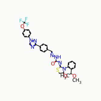 COC(C)c1ccccc1N1C(=O)CS/C1=N\C(=O)N/N=C/c1ccc(-c2ncn(-c3ccc(OC(F)(F)F)cc3)n2)cc1